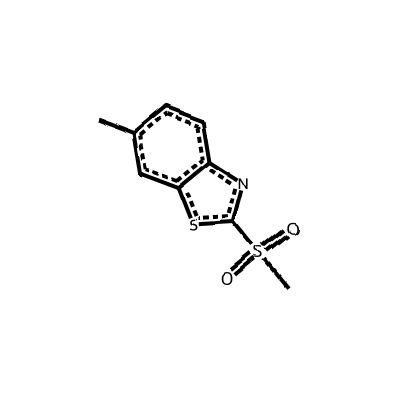 Cc1ccc2nc(S(C)(=O)=O)sc2c1